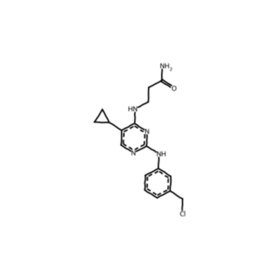 NC(=O)CCNc1nc(Nc2cccc(CCl)c2)ncc1C1CC1